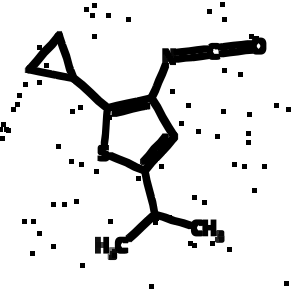 CC(C)c1cc(N=C=O)c(C2CC2)s1